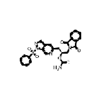 NC(=O)O[C@@H](Cc1cc2cnn(S(=O)(=O)c3ccccc3)c2cn1)CN1C(=O)c2ccccc2C1=O